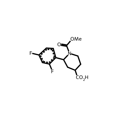 COC(=O)N1CCC(C(=O)O)CC1c1ccc(F)cc1F